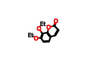 CCOc1ccc2ccc(=O)oc2c1OCC